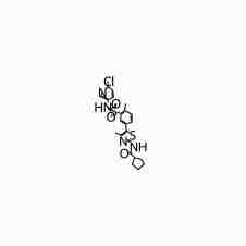 Cc1ccc(-c2sc(NC(=O)C3CCCC3)nc2C)cc1S(=O)(=O)Nc1ccc(Cl)nc1